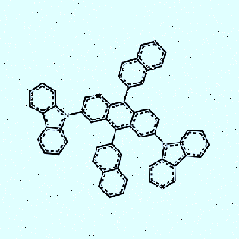 c1ccc2cc(-c3c4ccc(-n5c6ccccc6c6ccccc65)cc4c(-c4ccc5ccccc5c4)c4cc(-n5c6ccccc6c6ccccc65)ccc34)ccc2c1